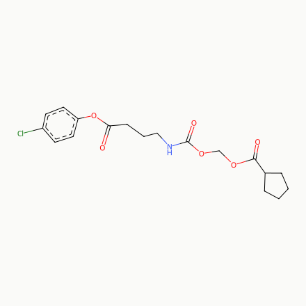 O=C(CCCNC(=O)OCOC(=O)C1CCCC1)Oc1ccc(Cl)cc1